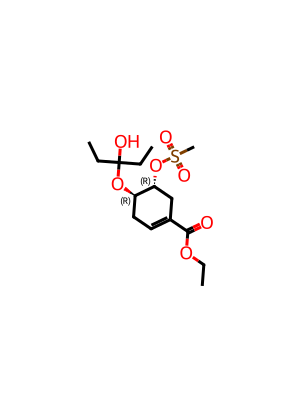 CCOC(=O)C1=CC[C@@H](OC(O)(CC)CC)[C@H](OS(C)(=O)=O)C1